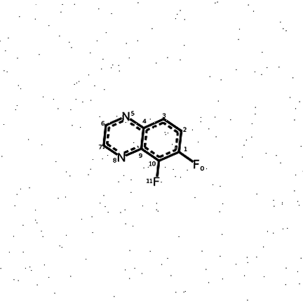 Fc1ccc2nc[c]nc2c1F